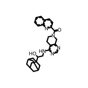 O=C(c1ccc2ccccc2n1)N1CCc2c(ncnc2NCC(O)C23CC4CC(CC(C4)C2)C3)C1